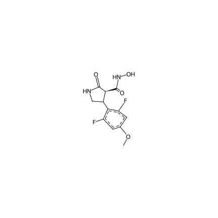 COc1cc(F)c(C2CNC(=O)[C@H]2C(=O)NO)c(F)c1